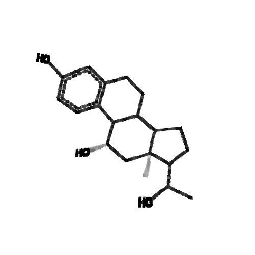 CC(O)C1CCC2C3CCc4cc(O)ccc4C3[C@@H](O)C[C@]12C